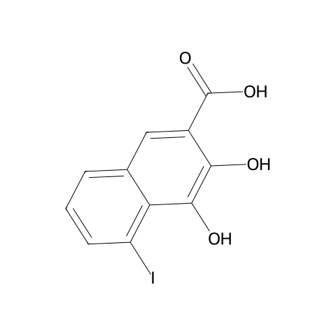 O=C(O)c1cc2cccc(I)c2c(O)c1O